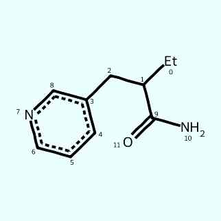 CCC(Cc1cccnc1)C(N)=O